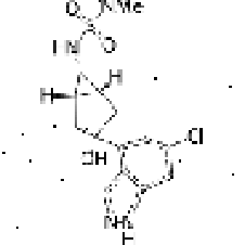 CNS(=O)(=O)N[C@@H]1[C@@H]2C[C@@](O)(c3cc(Cl)cc4[nH]ncc34)C[C@@H]21